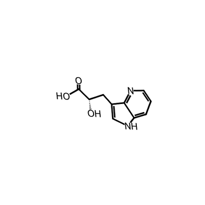 O=C(O)[C@@H](O)Cc1c[nH]c2cccnc12